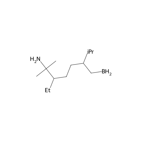 BCC(CCC(CC)C(C)(C)N)C(C)C